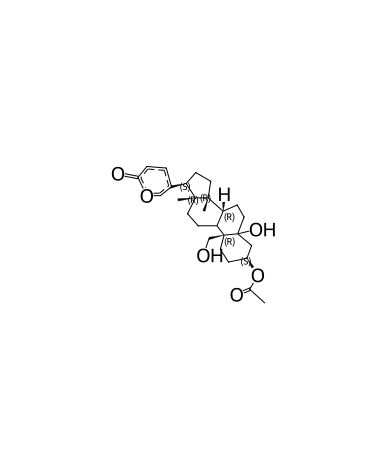 CC(=O)O[C@H]1CC[C@]2(CO)C3CC[C@]4(C)[C@@H](c5ccc(=O)oc5)CC[C@]4(C)[C@@H]3CCC2(O)C1